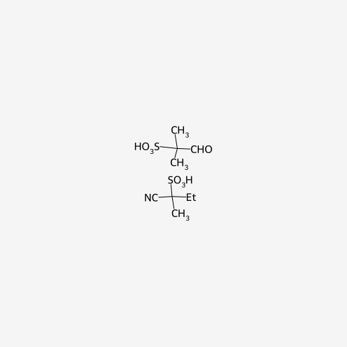 CC(C)(C=O)S(=O)(=O)O.CCC(C)(C#N)S(=O)(=O)O